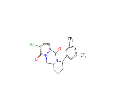 O=C1c2ccc(Br)c(=O)n2CC2CCCC(c3cc(C(F)(F)F)cc(C(F)(F)F)c3)N12